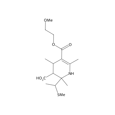 COCCOC(=O)C1=C(C)NC(C)(C(C)SC)C(C(=O)O)C1C